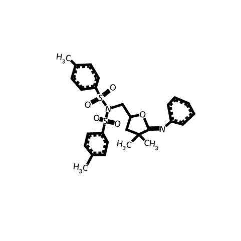 Cc1ccc(S(=O)(=O)N(CC2CC(C)(C)C(=Nc3ccccc3)O2)S(=O)(=O)c2ccc(C)cc2)cc1